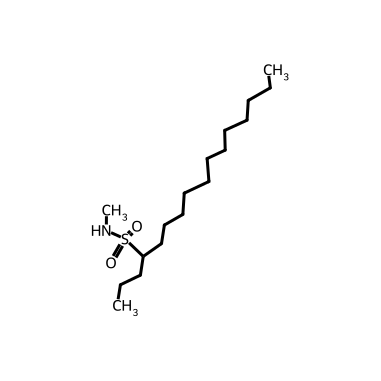 CCCCCCCCCCCCC(CCC)S(=O)(=O)NC